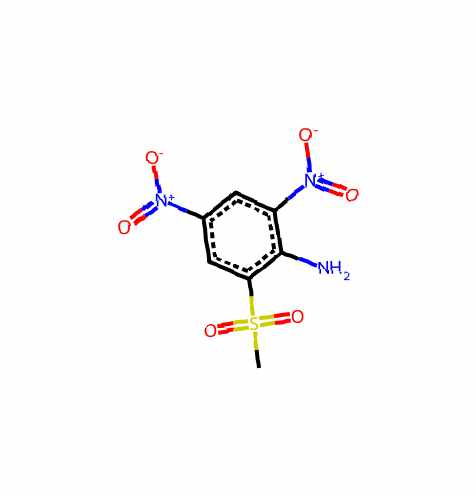 CS(=O)(=O)c1cc([N+](=O)[O-])cc([N+](=O)[O-])c1N